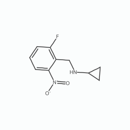 O=[N+]([O-])c1cccc(F)c1CNC1CC1